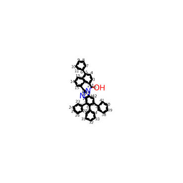 OC1c2ccc(-c3ccccc3)c3cccc(c23)-c2nc3c(-c4ccccc4)c(-c4ccccc4)c(-c4ccccc4)cc3n21